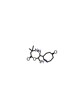 CC(C)C1OC(=O)CC(C)(C)/N=N\C1C1/C=C\CCC(=O)CC1